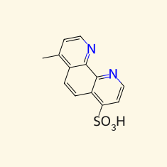 Cc1ccnc2c1ccc1c(S(=O)(=O)O)ccnc12